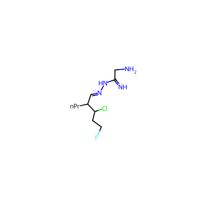 CCCC(/C=N/NC(=N)CN)C(Cl)CCF